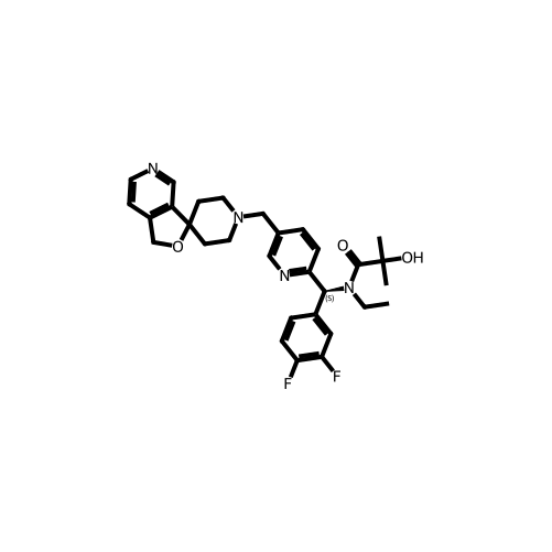 CCN(C(=O)C(C)(C)O)[C@@H](c1ccc(F)c(F)c1)c1ccc(CN2CCC3(CC2)OCc2ccncc23)cn1